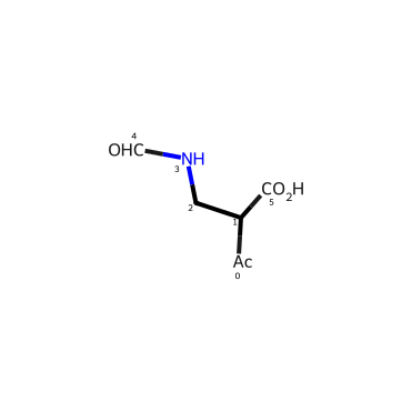 CC(=O)C(CNC=O)C(=O)O